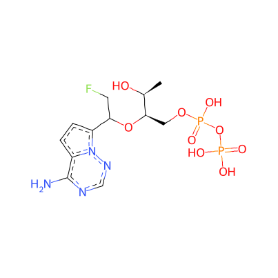 C[C@H](O)[C@@H](COP(=O)(O)OP(=O)(O)O)OC(CF)c1ccc2c(N)ncnn12